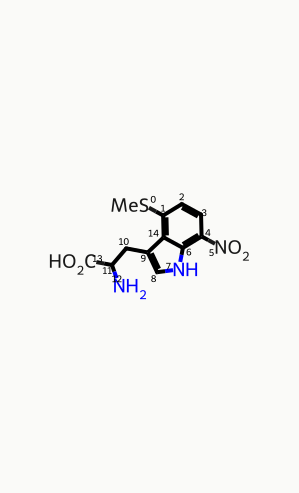 CSc1ccc([N+](=O)[O-])c2[nH]cc(CC(N)C(=O)O)c12